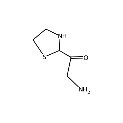 NCC(=O)C1NCCS1